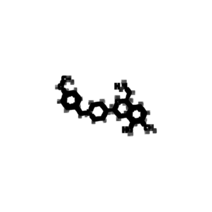 COc1ccc(CN2CCC([C@@H]3Cc4c(ccc(C)c4O)[C@H](CN)O3)CC2)cc1